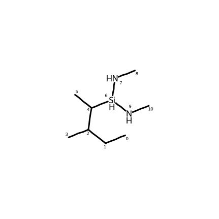 CCC(C)C(C)[SiH](NC)NC